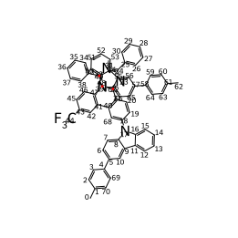 Cc1ccc(-c2ccc3c(c2)c2ccccc2n3-c2ccc(-c3nc(-c4ccccc4)nc(-c4ccccc4)n3)c(-c3cc(C(F)(F)F)ccc3-n3c4ccccc4c4cc(-c5ccc(C)cc5)ccc43)c2)cc1